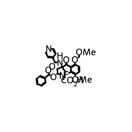 COCOc1ccc(OC)c(F)c1C(=O)C1(NC(=O)c2ccncc2)CC(OC(=O)c2ccccc2)N(C(=O)O)C1